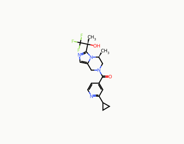 C[C@H]1CN(C(=O)c2ccnc(C3CC3)c2)Cc2cnc([C@@](C)(O)C(F)(F)F)n21